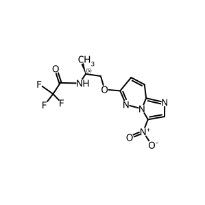 C[C@@H](COc1ccc2ncc([N+](=O)[O-])n2n1)NC(=O)C(F)(F)F